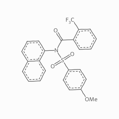 COc1ccc(S(=O)(=O)N(C(=O)c2ccccc2C(F)(F)F)c2cccc3ccccc23)cc1